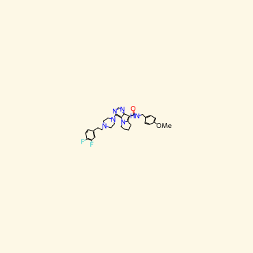 COc1ccc(CNC(=O)c2c3n(c4c(N5CCN(CCc6ccc(F)c(F)c6)CC5)ncnc24)CCCC3)cc1